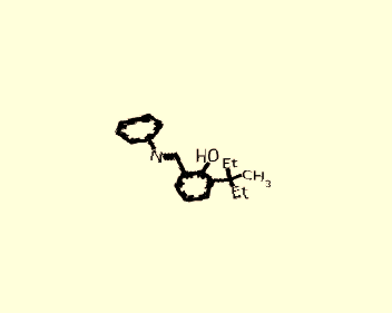 CCC(C)(CC)c1cccc(/C=N/c2ccccc2)c1O